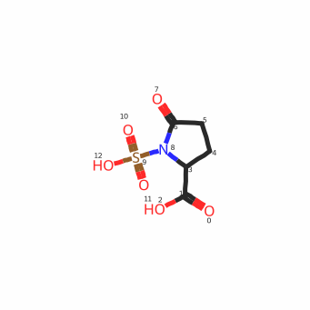 O=C(O)C1CCC(=O)N1S(=O)(=O)O